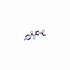 CCC(=O)N1CCC(NC(=O)N2CCN(C)CC2)C1